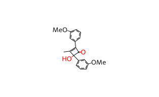 COc1cccc(C2=C(C)C(O)(c3cccc(OC)c3)C2=O)c1